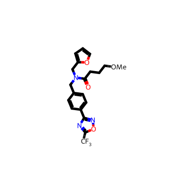 COCCCC(=O)N(Cc1ccc(-c2noc(C(F)(F)F)n2)cc1)Cc1ccco1